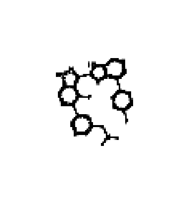 CN(C)Cc1cncc(-c2ncc3[nH]nc(-c4nc5c(-c6ccc(F)cc6)cncc5[nH]4)c3c2F)c1